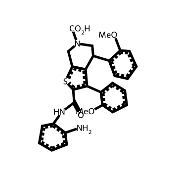 COc1ccccc1-c1c(C(=O)Nc2ccccc2N)sc2c1C(c1ccccc1OC)CN(C(=O)O)C2